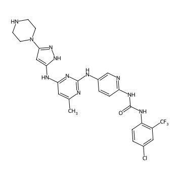 Cc1cc(Nc2cc(N3CCNCC3)n[nH]2)nc(Nc2ccc(NC(=O)Nc3ccc(Cl)cc3C(F)(F)F)nc2)n1